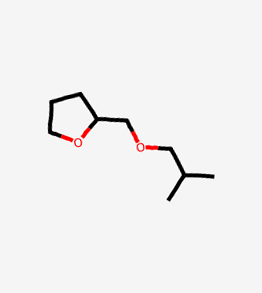 CC(C)COCC1CCCO1